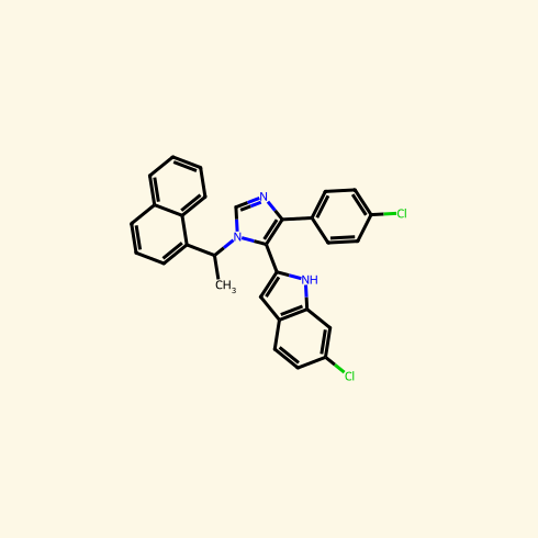 CC(c1cccc2ccccc12)n1cnc(-c2ccc(Cl)cc2)c1-c1cc2ccc(Cl)cc2[nH]1